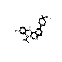 CC(C)Oc1cc(F)ccc1Nc1ncnc2ccc(N3CCC(C)(N)CC3)nc12